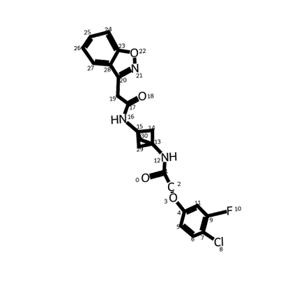 O=C(COc1ccc(Cl)c(F)c1)NC12CC(NC(=O)Cc3noc4ccccc34)(C1)C2